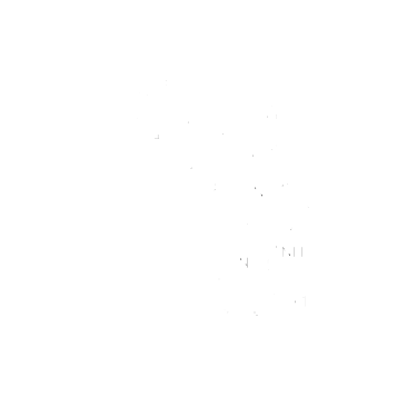 CCc1[c]ccc(-c2ccc(N3CC[C@H](Nc4ncccc4Cl)C3)c(CO)c2)c1